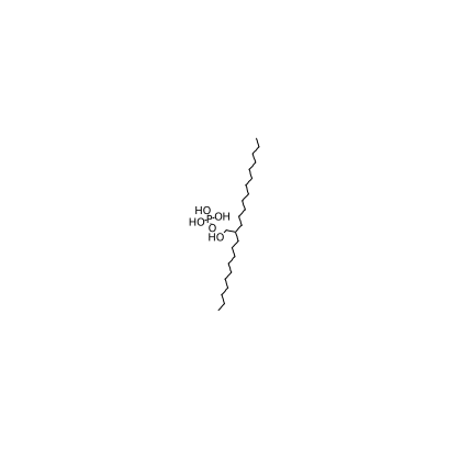 CCCCCCCCCCCCC(CO)CCCCCCCCCC.O=P(O)(O)O